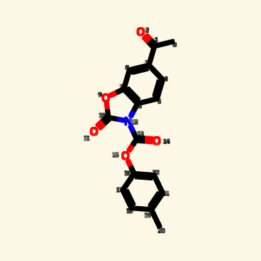 CC(=O)c1ccc2c(c1)oc(=O)n2C(=O)Oc1ccc(C)cc1